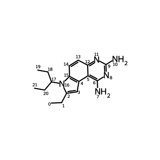 CCc1cc2c3c(N)nc(N)nc3ccc2n1C(CC)CC